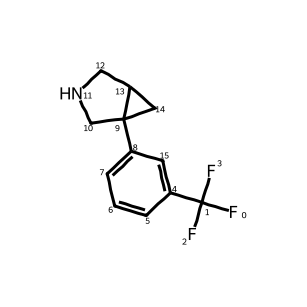 FC(F)(F)c1cccc(C23CNCC2C3)c1